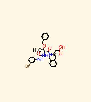 CC(OCc1ccccc1)C(NC(=O)Nc1cccc(Br)c1)C(=O)N1Cc2ccccc2C[C@@H]1CC(=O)O